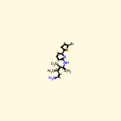 C=C(Nc1cccc(-c2ccc(C(C)=O)s2)n1)/C(=C(C)\C=C/N)[N+](=O)[O-]